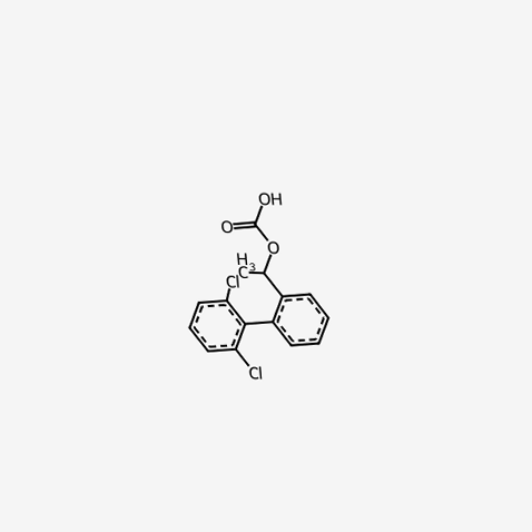 CC(OC(=O)O)c1ccccc1-c1c(Cl)cccc1Cl